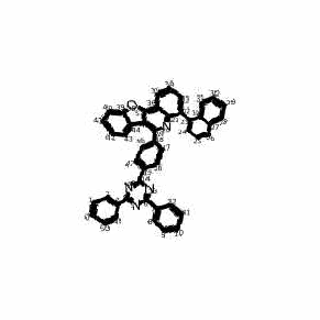 c1ccc(-c2nc(-c3ccccc3)nc(-c3ccc(-c4nc5c(-c6cccc7ccccc67)cccc5c5oc6ccccc6c45)cc3)n2)cc1